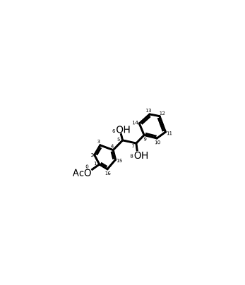 CC(=O)Oc1ccc(C(O)C(O)c2ccccc2)cc1